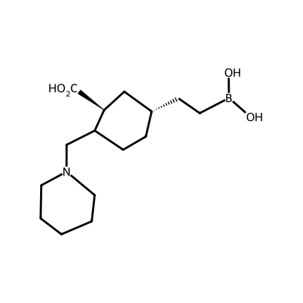 O=C(O)[C@H]1C[C@H](CCB(O)O)CCC1CN1CCCCC1